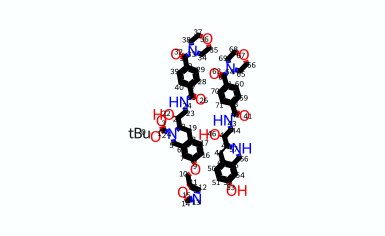 CC(C)(C)OC(=O)N1Cc2cc(OCc3cnco3)ccc2CC1[C@H](O)CNC(=O)c1ccc(C(=O)N2CCOCC2)cc1.O=C(NC[C@@H](O)[C@@H]1Cc2ccc(O)cc2CN1)c1ccc(C(=O)N2CCOCC2)cc1